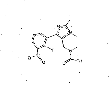 Cc1nc(-c2cccc([N+](=O)[O-])c2F)c(CN(C)C(=O)O)n1C